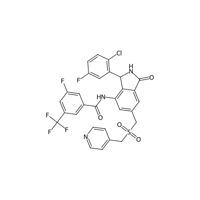 O=C(Nc1cc(CS(=O)(=O)Cc2ccncc2)cc2c1C(c1cc(F)ccc1Cl)NC2=O)c1cc(F)cc(C(F)(F)F)c1